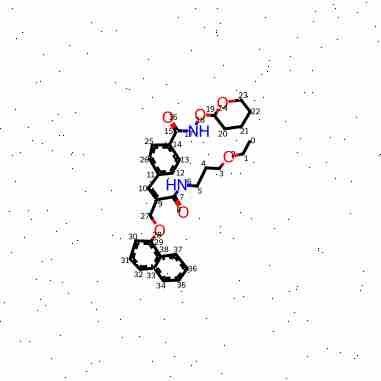 CCOCCCNC(=O)C(=Cc1ccc(C(=O)NOC2CCCCO2)cc1)COc1cccc2ccccc12